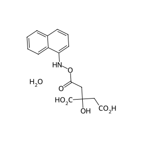 O.O=C(O)CC(O)(CC(=O)ONc1cccc2ccccc12)C(=O)O